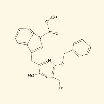 CC(C)Cc1nc(O)c(Cc2cn(C(=O)OC(C)(C)C)c3ccccc23)nc1OCc1ccccc1